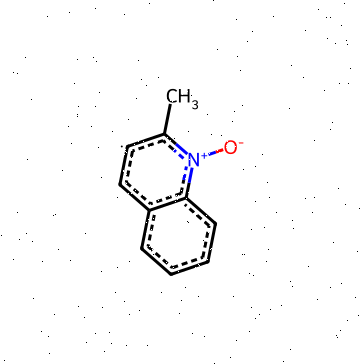 Cc1[c]cc2ccccc2[n+]1[O-]